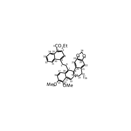 CCOC(=O)c1ccc(CCc2c3[n+](cc4c(OC)c(OC)ccc24)CCc2cc4c(cc2-3)OCO4)c2ccccc12.[I-]